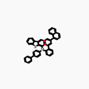 c1ccc(-c2ccc(N(c3ccccc3-c3cccc(-c4cccc5ccccc45)c3)c3cccc4c3sc3ccccc34)cc2)cc1